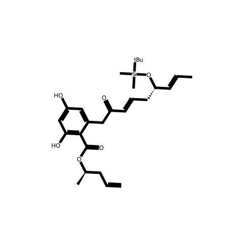 C=CC[C@@H](C)OC(=O)c1c(O)cc(O)cc1CC(=O)/C=C/C[C@@H](/C=C/C)O[Si](C)(C)C(C)(C)C